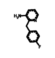 Nc1cccnc1Cc1ccc(F)cc1